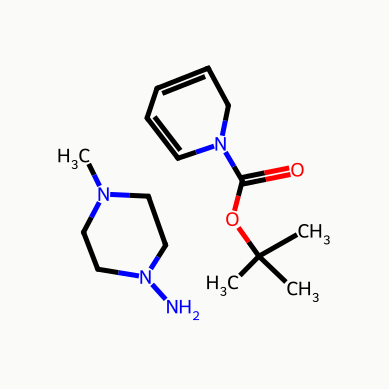 CC(C)(C)OC(=O)N1C=CC=CC1.CN1CCN(N)CC1